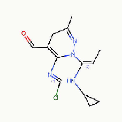 C/C=C(/NC1CC1)N1N=C(C)CC(C=O)=C1/N=C/Cl